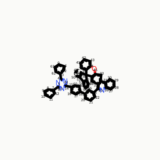 c1ccc(-c2nc(-c3ccccc3)nc(-c3ccc(-c4cccc(-c5nc6ccccc6c6cc7c(cc56)C5(c6ccccc6O7)c6ccccc6-c6ccccc65)c4)cc3)n2)cc1